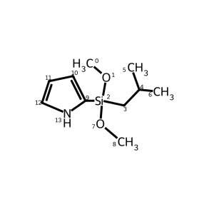 CO[Si](CC(C)C)(OC)c1ccc[nH]1